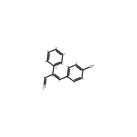 O=C/C(=C/c1ccc(Cl)cc1)c1ccccc1